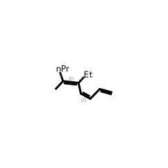 C=C/C=C\C(CC)=C(/C)CCC